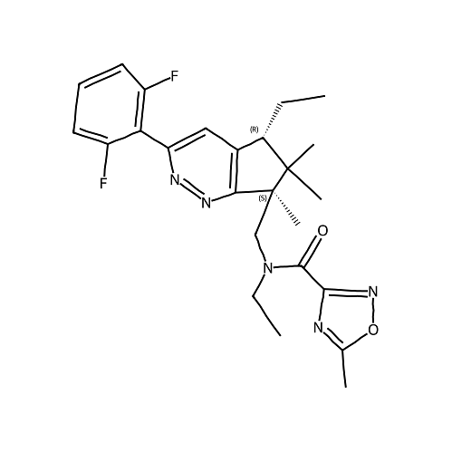 CC[C@H]1c2cc(-c3c(F)cccc3F)nnc2[C@](C)(CN(CC)C(=O)c2noc(C)n2)C1(C)C